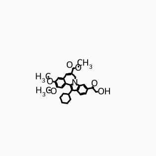 COC(=O)C1=Cc2cc(OC)c(OC)cc2-c2c(C3CCCCC3)c3ccc(C(=O)CO)cc3n2C1